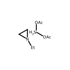 CC(=O)O[SiH2]OC(C)=O.CCN1CC1